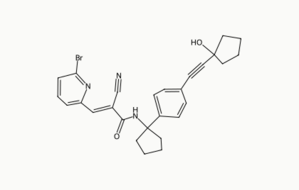 N#C/C(=C\c1cccc(Br)n1)C(=O)NC1(c2ccc(C#CC3(O)CCCC3)cc2)CCCC1